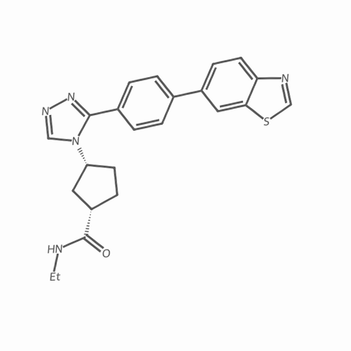 CCNC(=O)[C@H]1CC[C@@H](n2cnnc2-c2ccc(-c3ccc4ncsc4c3)cc2)C1